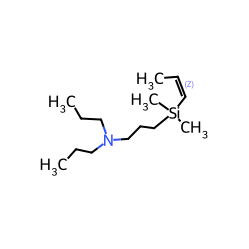 C/C=C\[Si](C)(C)CCCN(CCC)CCC